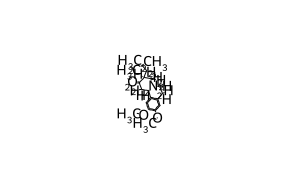 [2H]C1([2H])C(=O)[C@@]([2H])(CC(C)(C)C)C([2H])([2H])N2[C@@H]1c1cc(OC)c(OC)cc1C([2H])([2H])C2([2H])[2H]